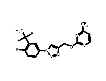 CC(F)(F)c1cc(-n2cc(COc3nccc(C(F)(F)F)n3)nn2)ccc1F